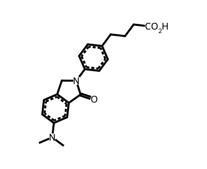 CN(C)c1ccc2c(c1)C(=O)N(c1ccc(CCCC(=O)O)cc1)C2